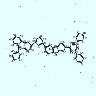 c1ccc(-c2nc(-c3ccccc3)nc(-c3ccc4c(c3)sc3ccc(-c5cccc(-c6ccc7c(c6)c6ccccc6n7-c6ccccc6)c5)cc34)n2)cc1